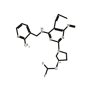 C=Nc1nc(N2CC[C@@H](OC(F)F)C2)nc(NCc2cccnc2C(F)(F)F)c1/C=C\C